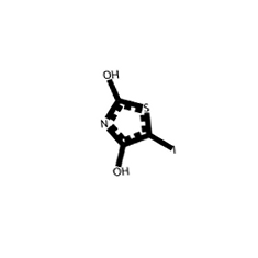 Oc1nc(O)c(I)s1